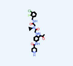 CC(=O)c1nn(CC(=O)N(CC(=O)NCc2cccc(Cl)c2F)C2CC2)c2ccc(NC(=O)C3CCNCC3)cc12